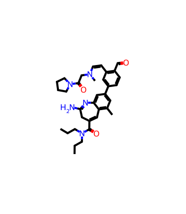 CCCN(CCC)C(=O)C1=Cc2c(C)cc(-c3ccc(C=O)c(/C=C\N(C)CC(=O)N4CCCC4)c3)cc2N=C(N)C1